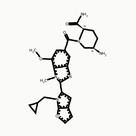 COc1cc(C(=O)N2C[C@H](N)CC[C@@H]2C(N)=O)cc2nc(-c3cc4ccoc4n3CC3CC3)n(C)c12